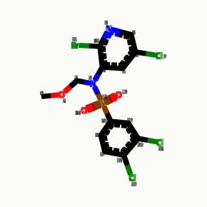 COCN(c1cc(Cl)cnc1Br)S(=O)(=O)c1ccc(Cl)c(Cl)c1